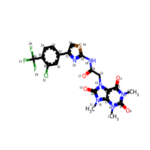 Cn1c(=O)c2c(n(C)c1=O)n(C)c(=O)n2CC(=O)Nc1nc(-c2ccc(C(F)(F)F)c(Cl)c2)cs1